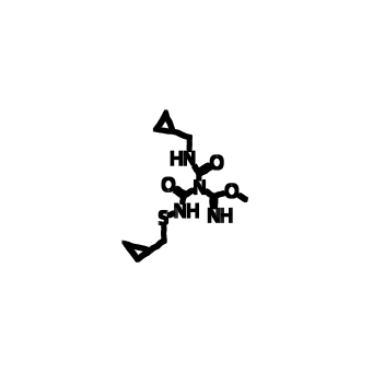 COC(=N)N(C(=O)NCC1CC1)C(=O)NSCC1CC1